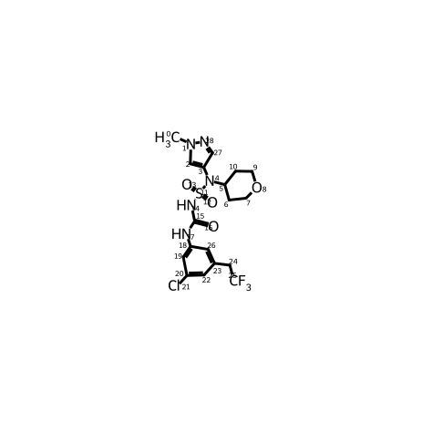 Cn1cc(N(C2CCOCC2)S(=O)(=O)NC(=O)Nc2cc(Cl)cc(CC(F)(F)F)c2)cn1